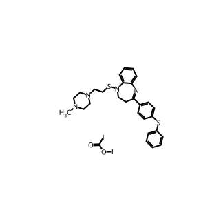 CN1CCN(CCSN2CCC(c3ccc(Sc4ccccc4)cc3)=Nc3ccccc32)CC1.O=C(I)OI